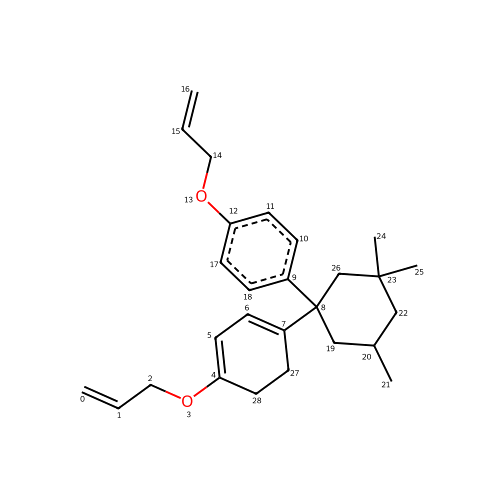 C=CCOC1=CC=C(C2(c3ccc(OCC=C)cc3)CC(C)CC(C)(C)C2)CC1